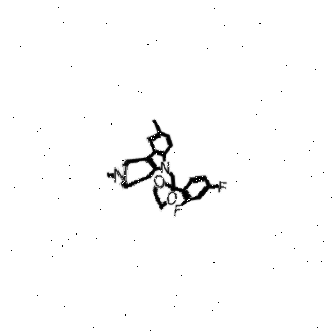 Cc1ccc2c(c1)c1c(n2CC2(c3ccc(F)cc3F)OCCO2)CCN(C)C1